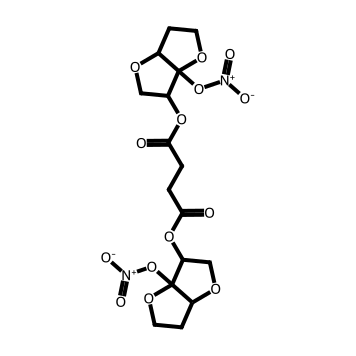 O=C(CCC(=O)OC1COC2CCOC21O[N+](=O)[O-])OC1COC2CCOC21O[N+](=O)[O-]